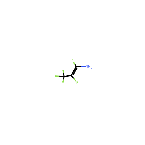 N/C(F)=C(\F)C(F)(F)F